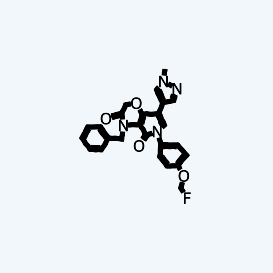 Cn1cc(-c2cn(-c3ccc(OCF)cc3)c(=O)c3c2OCC(=O)N3Cc2ccccc2)cn1